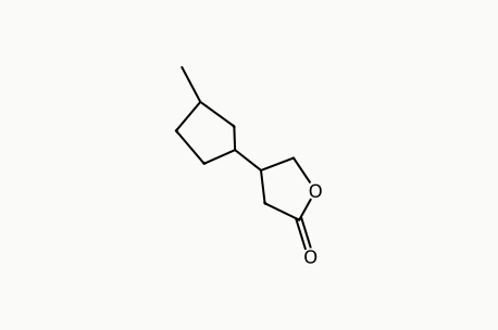 CC1CCC(C2COC(=O)C2)C1